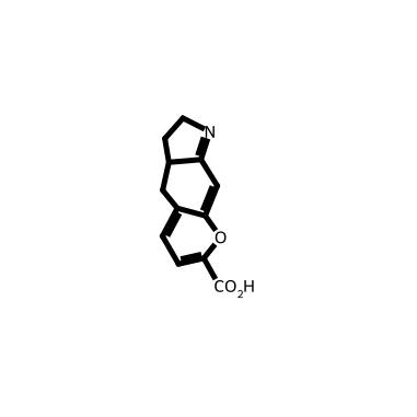 O=C(O)C1=CC=C2CC3CCN=C3C=C2O1